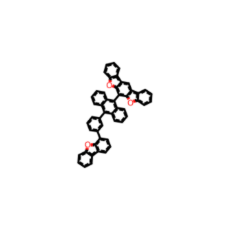 c1cc(-c2c3ccccc3c(-c3c4oc5ccccc5c4cc4c3oc3ccccc34)c3ccccc23)cc(-c2cccc3c2oc2ccccc23)c1